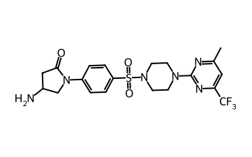 Cc1cc(C(F)(F)F)nc(N2CCN(S(=O)(=O)c3ccc(N4CC(N)CC4=O)cc3)CC2)n1